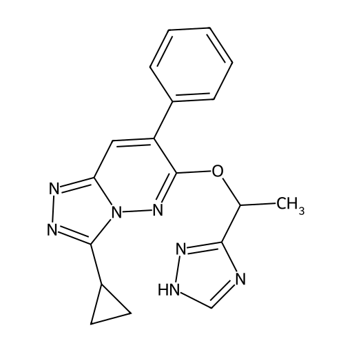 CC(Oc1nn2c(C3CC3)nnc2cc1-c1ccccc1)c1nc[nH]n1